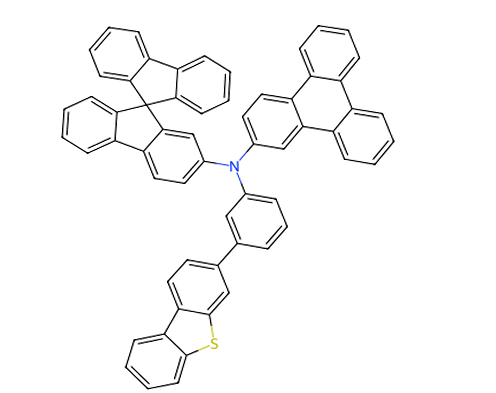 c1cc(-c2ccc3c(c2)sc2ccccc23)cc(N(c2ccc3c(c2)C2(c4ccccc4-c4ccccc42)c2ccccc2-3)c2ccc3c4ccccc4c4ccccc4c3c2)c1